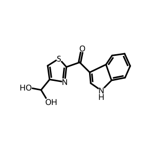 O=C(c1nc(C(O)O)cs1)c1c[nH]c2ccccc12